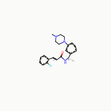 C[C@H](NC(=O)/C=C/c1ccccc1F)c1cccc(N2CCN(C)CC2)c1